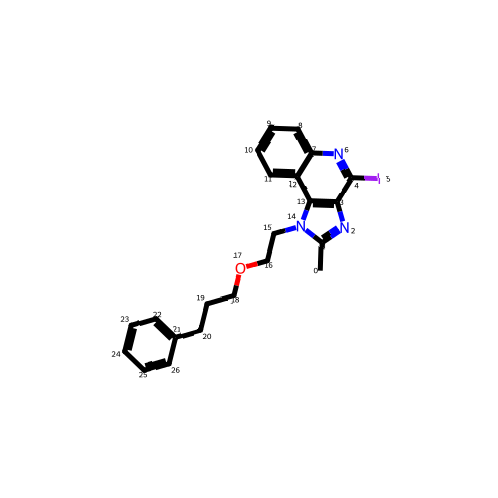 Cc1nc2c(I)nc3ccccc3c2n1CCOCCCc1ccccc1